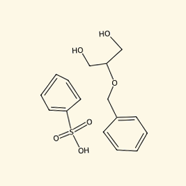 O=S(=O)(O)c1ccccc1.OCC(CO)OCc1ccccc1